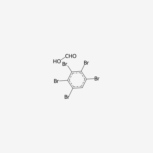 Brc1cc(Br)c(Br)c(Br)c1Br.O=CO